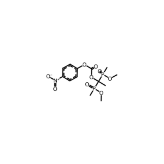 COP(C)(=O)C(C)(OC(=O)Oc1ccc([N+](=O)[O-])cc1)P(C)(=O)OC